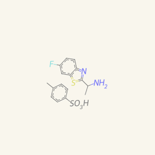 CC(N)c1nc2ccc(F)cc2s1.Cc1ccc(S(=O)(=O)O)cc1